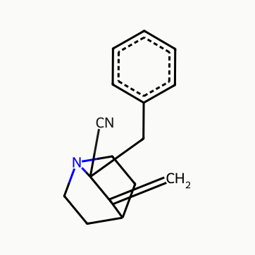 C=C1C2CCN(CC2)C1(C#N)Cc1ccccc1